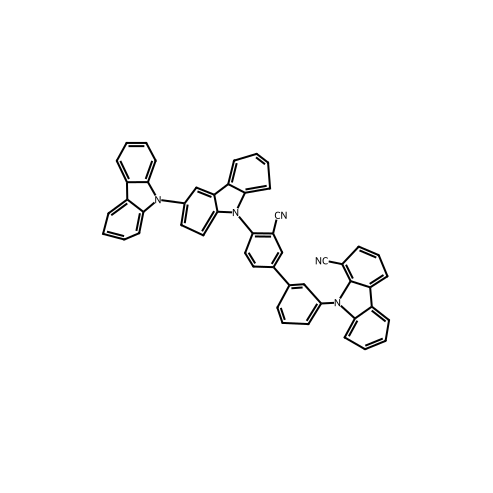 N#Cc1cc(-c2cccc(-n3c4ccccc4c4cccc(C#N)c43)c2)ccc1-n1c2ccccc2c2cc(-n3c4ccccc4c4ccccc43)ccc21